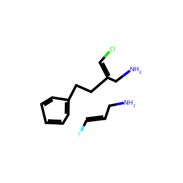 NCC(=CCl)CCc1ccccc1.NCC=CF